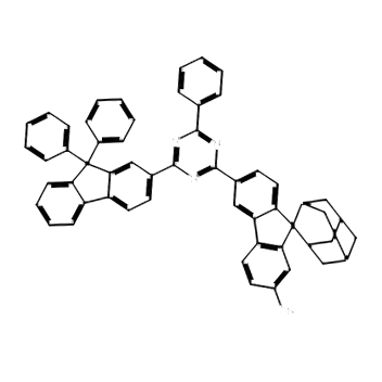 N#Cc1ccc2c(c1)C1(c3ccc(-c4nc(-c5ccccc5)nc(-c5ccc6c(c5)C(c5ccccc5)(c5ccccc5)c5ccccc5-6)n4)cc3-2)C2CC3CC(C2)CC1C3